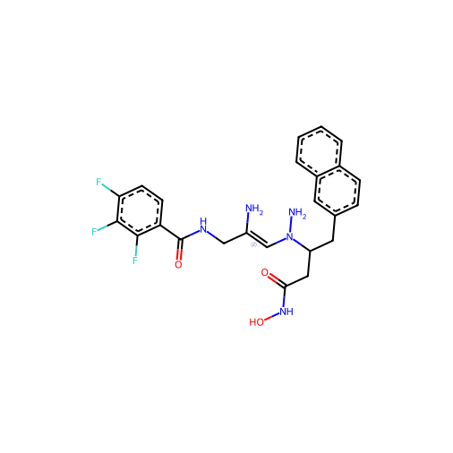 N/C(=C\N(N)C(CC(=O)NO)Cc1ccc2ccccc2c1)CNC(=O)c1ccc(F)c(F)c1F